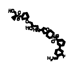 NCc1ccc(-c2cccc(S(=O)(=O)N3CCC4(CC3)CC(NCC(O)COc3cccc(S(=O)(=O)C5(CO)CC5)c3)CO4)c2)cc1F